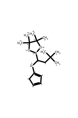 CC(C)(C)C[CH]([Zr][C]1=CC=CC1)B1OC(C)(C)C(C)(C)O1